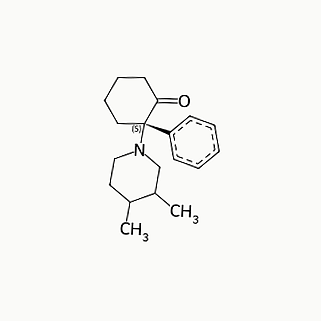 CC1CCN([C@]2(c3ccccc3)CCCCC2=O)CC1C